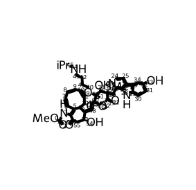 COC(=O)NC1=C2C#C/C=C\C#C[C@H](OC3OC(C)C(SC)(C(=O)c4nccc5c4[nH]c4ccc(O)cc45)C(O)C3OCCCCNC(C)C)C2/C(=C\CS(C)=S)[C@@H](O)CC1=O